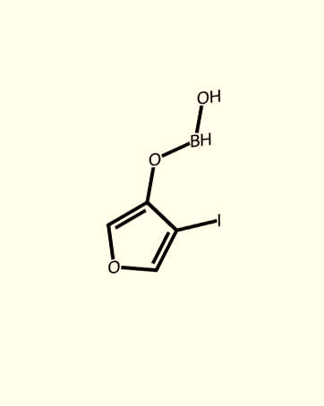 OBOc1cocc1I